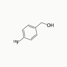 OCc1ccc([18F])cc1